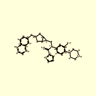 O=C(c1cccs1)N(CC1C2CN(Cc3ccc4nccnc4c3)CC21)c1ccc(N2CCOCC2)c(F)c1